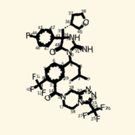 CC(C)CC(c1ccc(C(F)(F)F)c(C(=O)N2CCn3c(nnc3C(F)(F)F)C2)c1)N1C(=N)NC(C[C@@H]2CCOC2)(c2ccc(F)cc2)C1=O